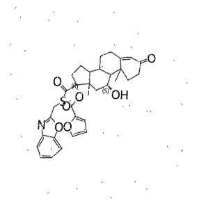 CC12CCC(=O)C=C1CCC1C2[C@@H](O)CC2(C)C1CC[C@]2(OC(=O)c1ccco1)C(=O)SCc1nc2ccccc2o1